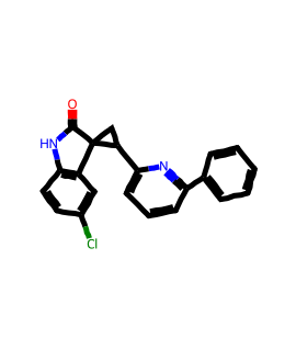 O=C1Nc2ccc(Cl)cc2C12CC2c1cccc(-c2ccccc2)n1